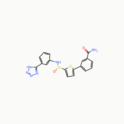 NC(=O)c1cccc(-c2ccc([S+]([O-])Nc3cccc(-c4nnn[nH]4)c3)s2)c1